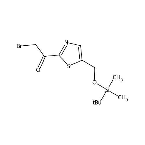 CC(C)(C)[Si](C)(C)OCc1cnc(C(=O)CBr)s1